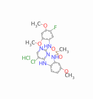 COc1ccc(Nc2nc(Nc3cc(F)c(OC)cc3OC)ncc2Cl)c(NS(C)(=O)=O)c1.Cl